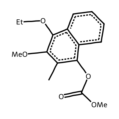 CCOc1c(OC)c(C)c(OC(=O)OC)c2ccccc12